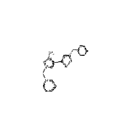 C[n+]1nn(Cc2ccccc2)cc1-c1cn(Cc2ccccc2)nn1